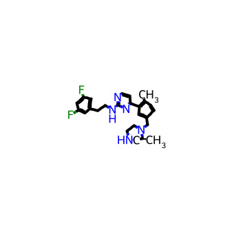 Cc1ccc(CN2CCNC[C@@H]2C)cc1-c1ccnc(NCCc2cc(F)cc(F)c2)n1